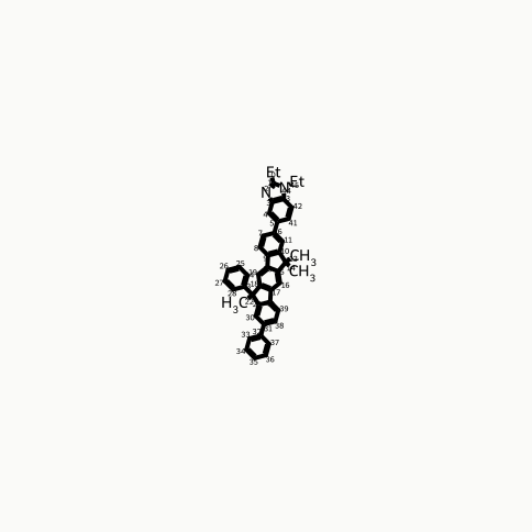 CCc1nc2cc(-c3ccc4c(c3)C(C)(C)c3cc5c(cc3-4)C(C)(c3ccccc3)c3cc(-c4ccccc4)ccc3-5)ccc2n1CC